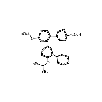 CCCCC(CCC)Oc1ccccc1-c1ccccc1.CCCCCCCCOc1ccc(-c2ccc(C(=O)O)cc2)cc1